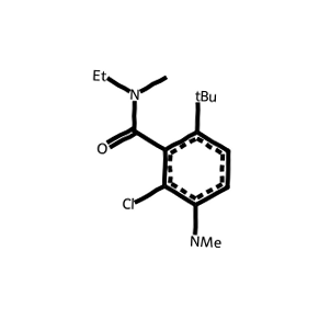 CCN(C)C(=O)c1c(C(C)(C)C)ccc(NC)c1Cl